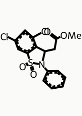 COC(=O)CC1c2c(Cl)cc(Cl)cc2S(=O)(=O)N1c1ccccc1